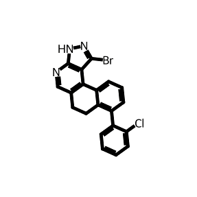 Clc1ccccc1-c1cccc2c1CCc1cnc3[nH]nc(Br)c3c1-2